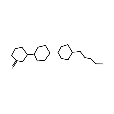 CCCCC[C@H]1CC[C@H](C2CCC(C3CCCC(=O)C3)CC2)CC1